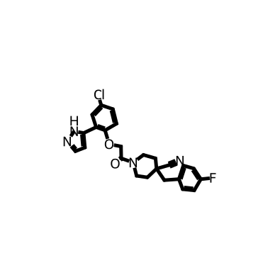 N#CC1(Cc2ccc(F)cc2)CCN(C(=O)COc2ccc(Cl)cc2-c2ccn[nH]2)CC1